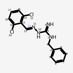 N=C(NCc1ccccc1)N/N=C/c1c(Cl)cccc1Cl